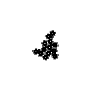 c1ccc(-c2ccc(N(c3cc(N(c4ccccc4)c4ccc(-c5cccc6c5oc5ccccc56)cc4)cc(N(c4ccccc4)c4ccc(-c5cccc6c5oc5ccccc56)cc4)c3)c3cccc4c3sc3ccccc34)cc2)cc1